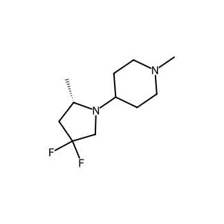 C[C@H]1CC(F)(F)CN1C1CCN(C)CC1